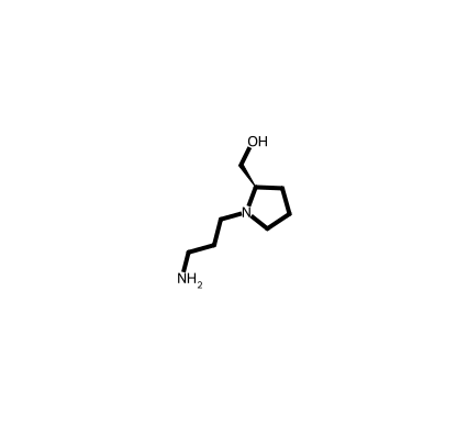 NCCCN1CCC[C@@H]1CO